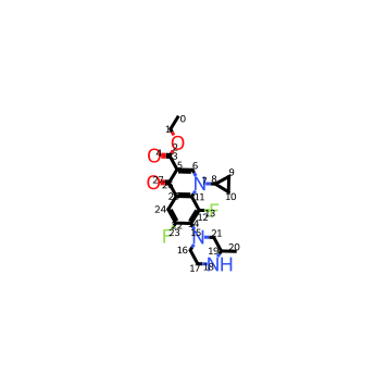 CCOC(=O)c1cn(C2CC2)c2c(F)c(N3CCNC(C)C3)c(F)cc2c1=O